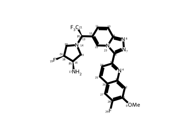 COc1cc2nc(-c3nnc4ccc([C@@H](N5C[C@@H](N)[C@@H](F)C5)C(F)(F)F)cn34)ccc2cc1F